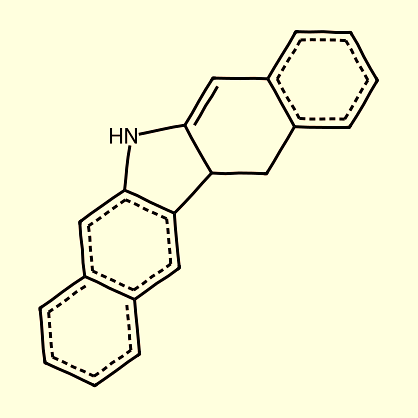 C1=C2Nc3cc4ccccc4cc3C2Cc2ccccc21